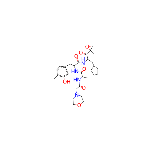 Cc1ccc(CC(NC(=O)C(C)NC(=O)CN2CCOCC2)C(=O)NC(CC2CCCC2)C(=O)C2(C)CO2)cc1O